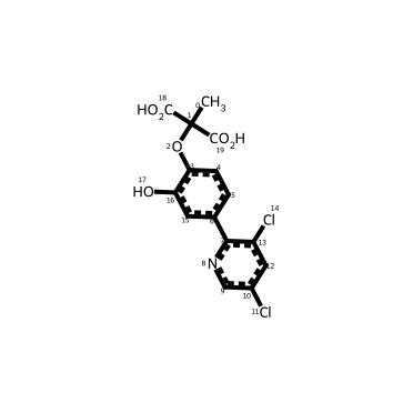 CC(Oc1ccc(-c2ncc(Cl)cc2Cl)cc1O)(C(=O)O)C(=O)O